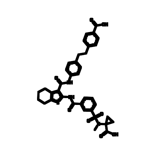 CN(C1(C(=O)O)CC1)S(=O)(=O)c1cccc(C(=O)Nc2sc3c(c2C(=O)Nc2ccc(CCc4ccc(C(=O)O)cc4)cc2)CCCC3)c1